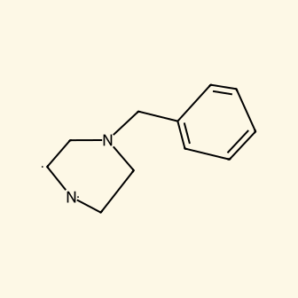 [CH]1CN(Cc2ccccc2)CC[N]1